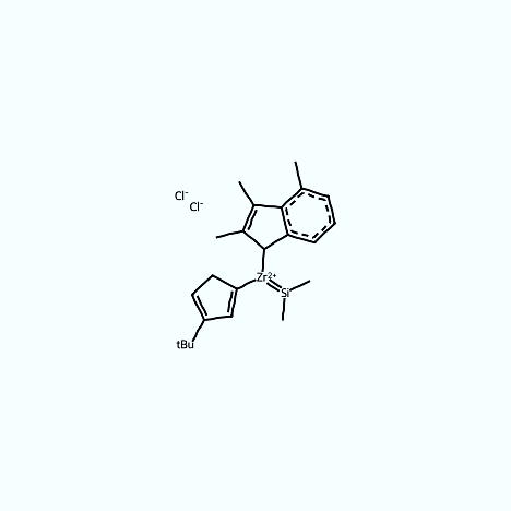 CC1=C(C)[CH]([Zr+2]([C]2=CC(C(C)(C)C)=CC2)=[Si](C)C)c2cccc(C)c21.[Cl-].[Cl-]